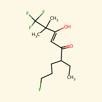 CCC(CCCF)C(=O)/C=C(\O)C(C)(C)C(F)(F)F